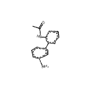 CC(=O)Nc1ccccc1-c1cccc(N)c1